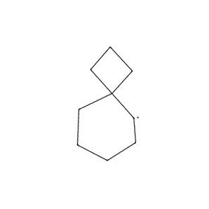 [CH]1CCCCC12CCC2